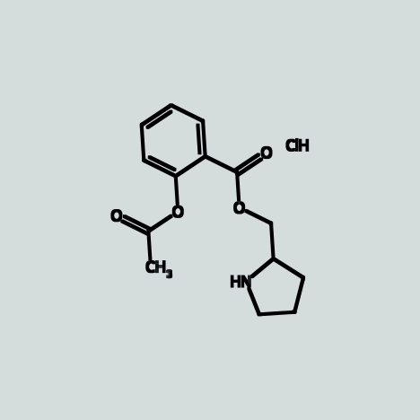 CC(=O)Oc1ccccc1C(=O)OCC1CCCN1.Cl